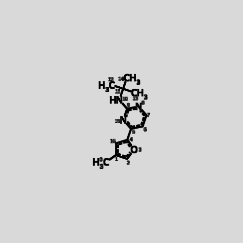 Cc1coc(-c2ccnc(NC(C)(C)C)n2)c1